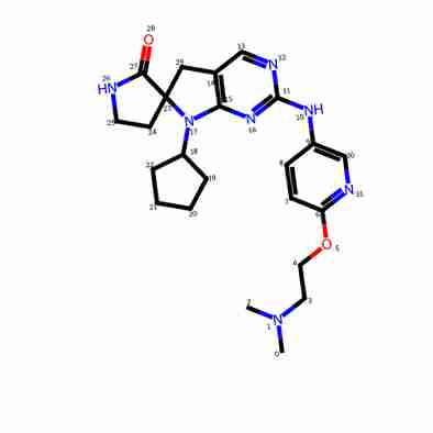 CN(C)CCOc1ccc(Nc2ncc3c(n2)N(C2CCCC2)C2(CCNC2=O)C3)cn1